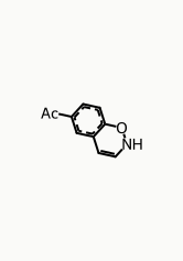 CC(=O)c1ccc2c(c1)C=CNO2